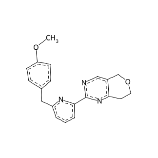 COc1ccc(Cc2cccc(-c3ncc4c(n3)CCOC4)n2)cc1